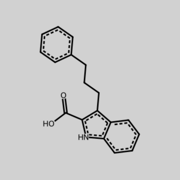 O=C(O)c1[nH]c2ccccc2c1CCCc1ccccc1